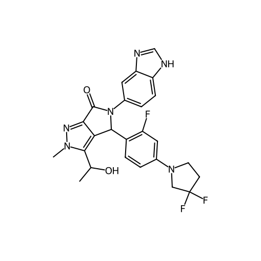 CC(O)c1c2c(nn1C)C(=O)N(c1ccc3[nH]cnc3c1)C2c1ccc(N2CCC(F)(F)C2)cc1F